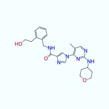 Cc1cnc(NC2CCOCC2)nc1-n1cnc(C(=O)NCc2ccccc2CCO)c1